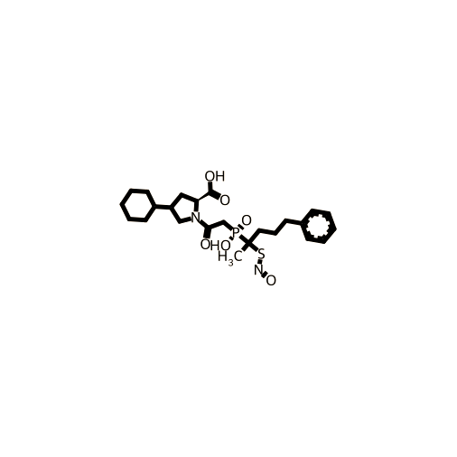 CC(CCCc1ccccc1)(SN=O)P(=O)(O)CC(=O)N1CC(C2CCCCC2)C[C@H]1C(=O)O